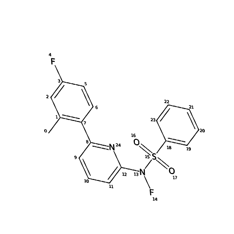 Cc1cc(F)ccc1-c1cccc(N(F)S(=O)(=O)c2ccccc2)n1